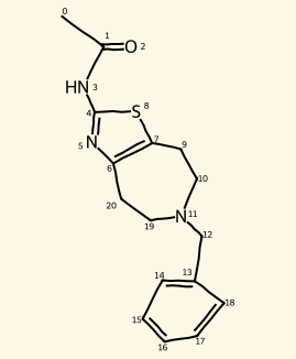 CC(=O)Nc1nc2c(s1)CCN(Cc1ccccc1)CC2